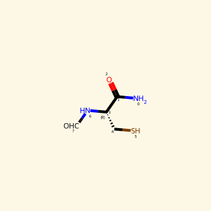 NC(=O)[C@H](CS)NC=O